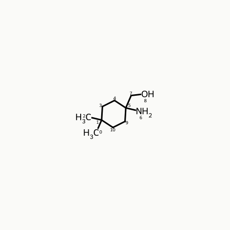 CC1(C)CCC(N)(CO)CC1